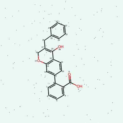 O=C(O)c1ccccc1-c1ccc2c(c1)OCC(Cc1ccccc1)=C2O